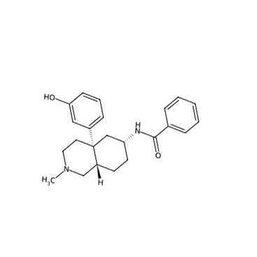 CN1CC[C@@]2(c3cccc(O)c3)C[C@H](NC(=O)c3ccccc3)CC[C@@H]2C1